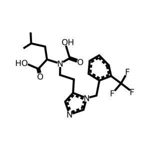 CC(C)CC(C(=O)O)N(CCc1cncn1Cc1ccccc1C(F)(F)F)C(=O)O